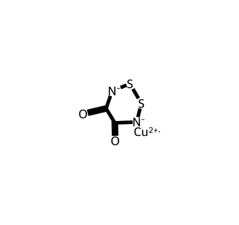 O=C1[N-]SS[N-]C1=O.[Cu+2]